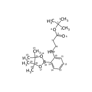 CC(C)(C)OC(=O)CCNc1ccccc1B1OC(C)(C)C(C)(C)O1